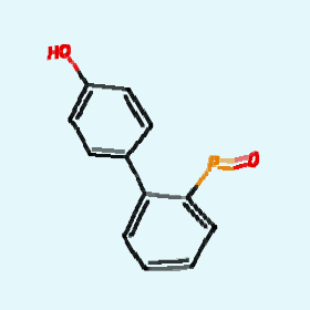 O=Pc1ccccc1-c1ccc(O)cc1